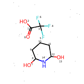 O=C(O)C(F)(F)F.OC1CCCC(O)N1